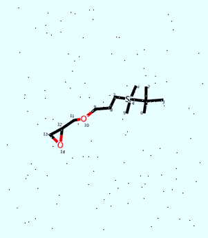 CC(C)(C)[Si](C)(C)CCCOCC1CO1